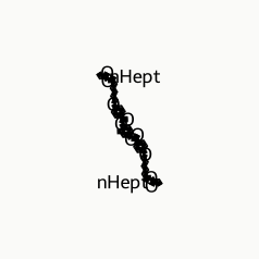 C=CC(=O)OC(CCCCCCC)CCCCCOc1ccc(C(=O)Oc2ccc(OC(=O)c3ccc(OCCCCCC(CCCCCCC)OC(=O)C=C)cc3)c(C)c2)cc1